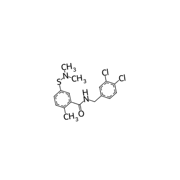 Cc1ccc(SN(C)C)cc1C(=O)NCc1ccc(Cl)c(Cl)c1